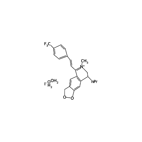 CCCC1C[N+](C)=C(/C=C/c2ccc(C(F)(F)F)cc2)c2cc3c(cc21)OOC3.O.O.[I-]